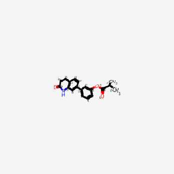 CC(C)C(=O)Oc1cccc(-c2ccc3c(c2)NC(=O)CC3)c1